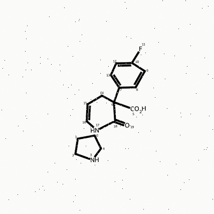 C1CCNC1.O=C(O)C1(c2ccc(F)cc2)CC=CNC1=O